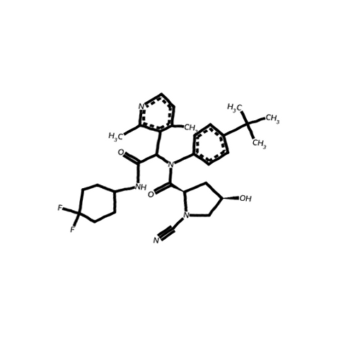 Cc1ccnc(C)c1C(C(=O)NC1CCC(F)(F)CC1)N(C(=O)[C@H]1C[C@@H](O)CN1C#N)c1ccc(C(C)(C)C)cc1